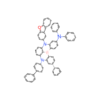 c1ccc(-c2ccc(N3c4cc(-c5ccccc5)ccc4B4c5ccc(N(c6ccccc6)c6ccccc6)cc5N(c5ccc6oc7ccccc7c6c5)c5cccc3c54)cc2)cc1